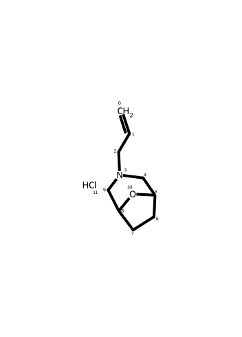 C=CCN1CC2CCC(C1)O2.Cl